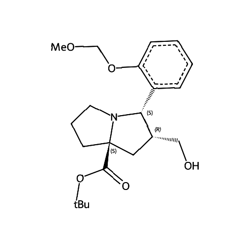 COCOc1ccccc1[C@@H]1[C@H](CO)C[C@]2(C(=O)OC(C)(C)C)CCCN12